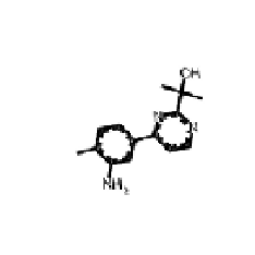 Cc1ccc(-c2ccnc(C(C)(C)O)n2)cc1N